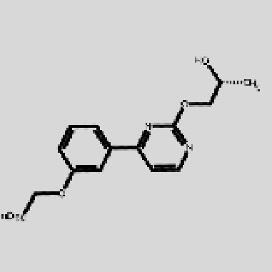 CCCCCCCCCCCOc1cccc(-c2ccnc(OC[C@@H](C)O)n2)c1